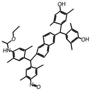 CCOC(C)Nc1cc(C)c(C(c2ccc3cc(C(c4cc(C)c(O)cc4C)c4cc(C)c(O)cc4C)ccc3c2)c2cc(C)c(N=O)cc2C)cc1C